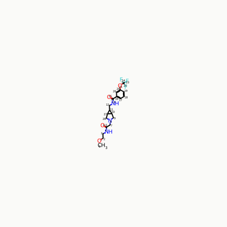 COCCNC(=O)CN1CC2C(CNC(=O)c3cccc(OC(F)(F)F)c3)C2C1